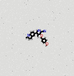 COc1ccc(COc2c(C#N)ncc(-c3ccc4nc(C)ccc4c3)c2C)cc1